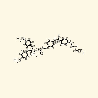 [CH2]C(COC(=O)/C=C/c1ccc(OC(F)(F)c2ccc(CCCCC(F)(F)F)cc2)cc1)(Cc1ccc(N)cc1)Cc1ccc(N)cc1